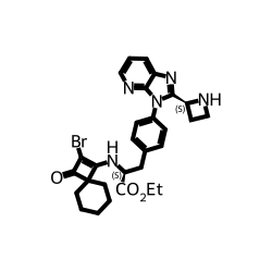 CCOC(=O)[C@H](Cc1ccc(-n2c([C@@H]3CCN3)nc3cccnc32)cc1)NC1=C(Br)C(=O)C12CCCCC2